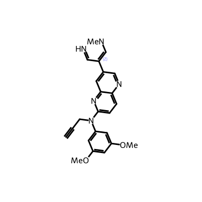 C#CCN(c1cc(OC)cc(OC)c1)c1ccc2ncc(/C(C=N)=C/NC)cc2n1